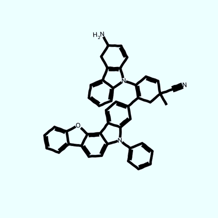 CC1(C#N)C=CC(n2c3c(c4ccccc42)CC(N)C=C3)=C(c2ccc3c4c5oc6ccccc6c5ccc4n(-c4ccccc4)c3c2)C1